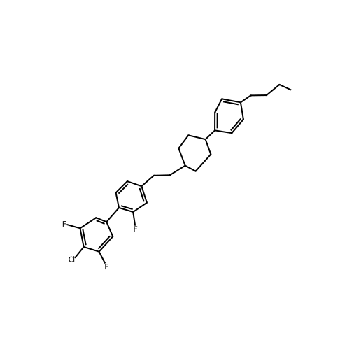 CCCCc1ccc(C2CCC(CCc3ccc(-c4cc(F)c(Cl)c(F)c4)c(F)c3)CC2)cc1